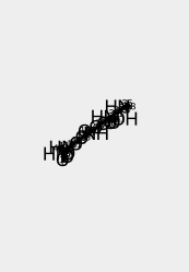 COC(=O)NC(C(=O)NCCOCCOCC(=O)NCCOCCOCC(=O)NC(CCCCNC(C)(C)C)C(=O)O)C(C)C